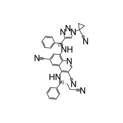 N#CCC[C@@H](Nc1c(C#N)cnc2c(N[C@@H](c3ccccc3)c3cn(C4(C#N)CC4)nn3)cc(C#N)cc12)c1ccccc1